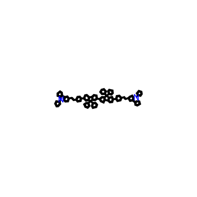 C(=C\c1ccc2c(c1)c1ccccc1n2-c1ccccc1)/c1ccc(-c2ccc3c(c2)C(c2ccccc2)(c2ccccc2)c2cc(-c4ccc5c(c4)C(c4ccccc4)(c4ccccc4)c4cc(-c6ccc(/C=C/c7ccc8c(c7)c7ccccc7n8-c7ccccc7)cc6)ccc4-5)ccc2-3)cc1